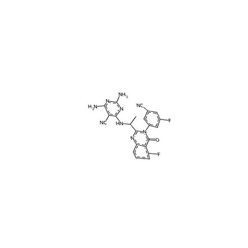 CC(Nc1nc(N)nc(N)c1C#N)c1nc2cccc(F)c2c(=O)n1-c1cc(F)cc(C#N)c1